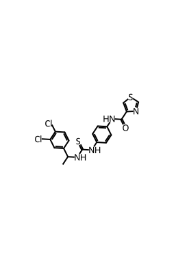 CC(NC(=S)Nc1ccc(NC(=O)c2cscn2)cc1)c1ccc(Cl)c(Cl)c1